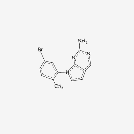 Cc1ccc(Br)cc1-n1ccc2cnc(N)nc21